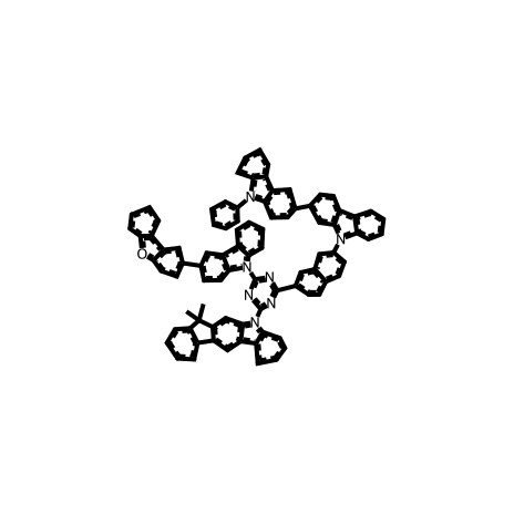 CC1(C)c2ccccc2-c2cc3c4ccccc4n(-c4nc(-c5ccc6ccc(-n7c8ccccc8c8ccc(-c9ccc%10c(c9)c9ccccc9n%10-c9ccccc9)cc87)cc6c5)nc(-n5c6ccccc6c6cc(-c7ccc8oc9ccccc9c8c7)ccc65)n4)c3cc21